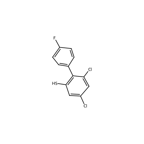 Fc1ccc(-c2c(S)cc(Cl)cc2Cl)cc1